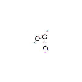 O=C(Nc1cc[n+]([O-])cc1)c1ccc(OC(F)F)c2oc3ccc(C(F)(F)F)cc3c12